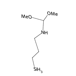 COC(NCCC[SiH3])OC